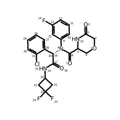 O=C1COCC(C(=O)N(c2cccc(F)c2)[C@H](C(=O)NC2CC(F)(F)C2)c2ccccc2Cl)N1